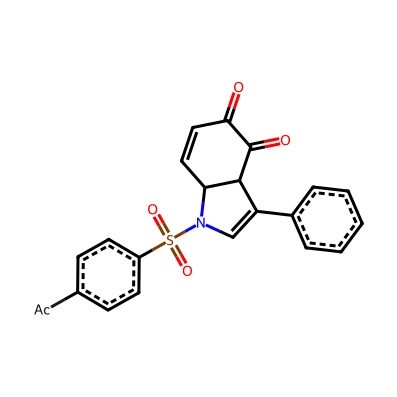 CC(=O)c1ccc(S(=O)(=O)N2C=C(c3ccccc3)C3C(=O)C(=O)C=CC32)cc1